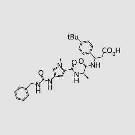 C[C@@H](NC(=O)c1cc(NC(=O)NCc2ccccc2)cn1C)C(=O)NC(CC(=O)O)c1ccc(C(C)(C)C)cc1